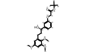 COc1cc(CC[C@@H](O)c2cccc(OCC(=O)OC(C)(C)C)c2)c(OC)c(OC)c1